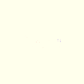 C#CCOCc1ccncc1